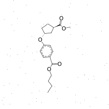 CCCCOC(=O)c1ccc(O[C@@H]2CC[C@@H](C(=O)OC)C2)cc1